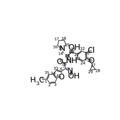 Cc1ccc2oc(/C(=N\O)C(=O)N[C@H](CN3CCCC3)[C@H](O)c3ccc(OC4CC4)c(Cl)c3)cc2c1